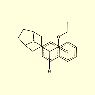 CCOC(=O)C(C#N)C1CC2CCC(C1)N2c1ccc2ccccc2c1